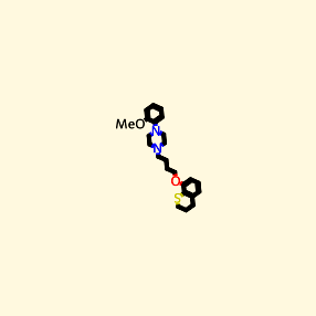 COc1ccccc1N1CCN(CCCCOc2cccc3c2SCCC3)CC1